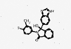 Cc1cc(N2C(=O)c3ccccc3C2(O)c2ccc3[nH][c]nc3c2)ccc1F